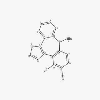 CC(C)(C)C1c2ccccc2-c2occc2-c2c1ccc(F)c2F